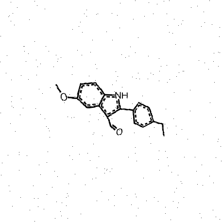 CCc1ccc(-c2[nH]c3ccc(OC)cc3c2C=O)cc1